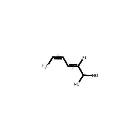 C/C=C\C=C(/CC)C(C#N)N=O